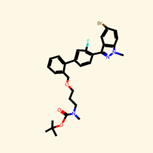 CN(CCCOCc1ccccc1-c1ccc(-c2nn(C)c3ccc(Br)cc23)c(F)c1)C(=O)OC(C)(C)C